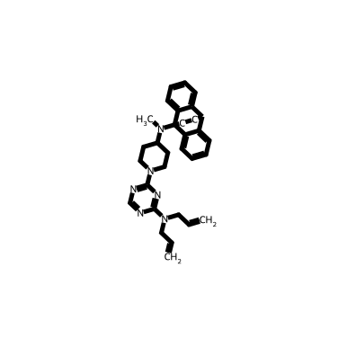 C=CCN(CC=C)c1ncnc(N2CCC(N(C)C34CCC(c5ccccc53)c3ccccc34)CC2)n1